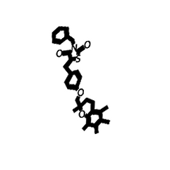 Cc1c(C)c(C)c2c(c1C)CCC(C)(COc1ccc(/C=C3\SC(=O)N(Cc4ccccc4)C3=O)cc1)O2